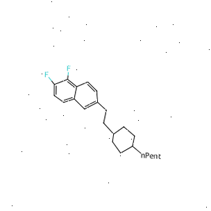 CCCCCC1CCC(CCc2ccc3c(F)c(F)ccc3c2)CC1